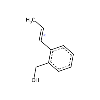 C/C=C/c1ccccc1CO